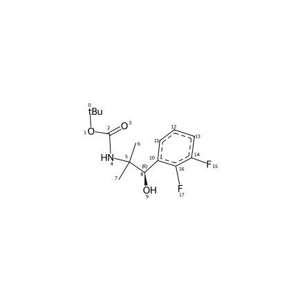 CC(C)(C)OC(=O)NC(C)(C)[C@H](O)c1cccc(F)c1F